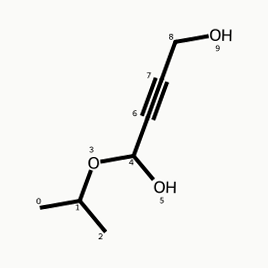 CC(C)OC(O)C#CCO